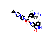 Nc1c(Cl)cc(C[C@@H](OC(=O)N2CCC3(CC2)CC(=O)Nc2ccccc23)C(=O)N2CCC(N3CCN(C4CC4)CC3)CC2)cc1C(F)(F)F